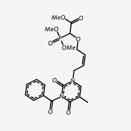 COC(=O)C(OC/C=C\Cn1cc(C)c(=O)n(C(=O)c2ccccc2)c1=O)P(=O)(OC)OC